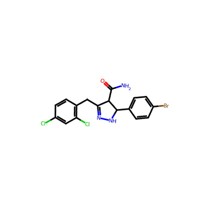 NC(=O)C1C([CH]c2ccc(Cl)cc2Cl)=NNC1c1ccc(Br)cc1